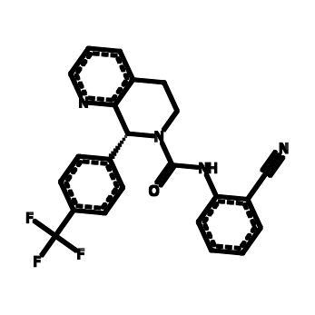 N#Cc1ccccc1NC(=O)N1CCc2cccnc2[C@H]1c1ccc(C(F)(F)F)cc1